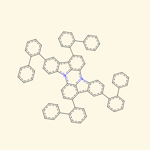 c1ccc(-c2ccccc2-c2ccc3c(c2)c2c(-c4ccccc4-c4ccccc4)ccc4c2n3c2ccc(-c3ccccc3-c3ccccc3)c3c5cc(-c6ccccc6-c6ccccc6)ccc5n4c32)cc1